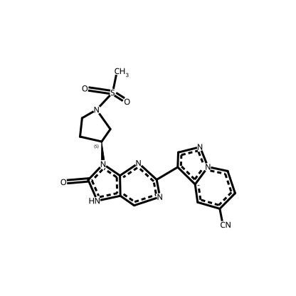 CS(=O)(=O)N1CC[C@H](n2c(=O)[nH]c3cnc(-c4cnn5ccc(C#N)cc45)nc32)C1